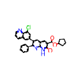 O=C(OC1CCCC1)c1cc2cc(-c3cc(Cl)c4ncccc4c3)c(-c3ccccc3)nc2[nH]c1=O